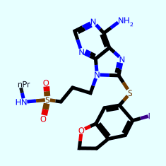 CCCNS(=O)(=O)CCCn1c(Sc2cc3c(cc2I)CCO3)nc2c(N)ncnc21